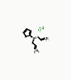 C=C[CH2][Hf+2]([CH2]C=C)[C]1=CC=CC1.[Cl-].[Cl-]